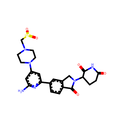 Nc1cc(N2CCN(C[SH](=O)=O)CC2)cc(-c2ccc3c(c2)CN(C2CCC(=O)NC2=O)C3=O)n1